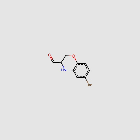 O=CC1COc2ccc(Br)cc2N1